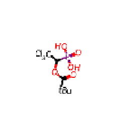 CC(C)(C)C(=O)OC(C(Cl)(Cl)Cl)P(=O)(O)O